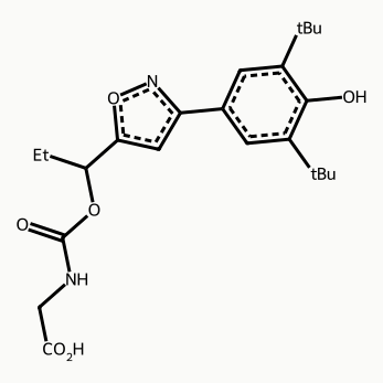 CCC(OC(=O)NCC(=O)O)c1cc(-c2cc(C(C)(C)C)c(O)c(C(C)(C)C)c2)no1